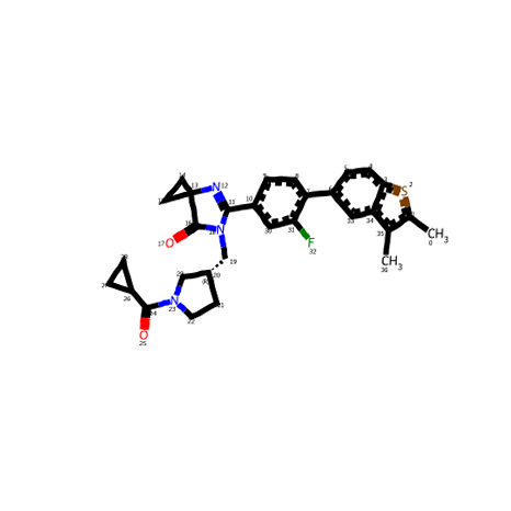 Cc1sc2ccc(-c3ccc(C4=NC5(CC5)C(=O)N4C[C@@H]4CCN(C(=O)C5CC5)C4)cc3F)cc2c1C